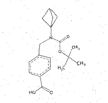 CC(C)(C)OC(=O)N(Cc1ccc(C(=O)O)cc1)C12CC(C1)C2